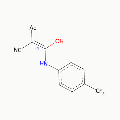 CC(=O)/C(C#N)=C(\O)Nc1ccc(C(F)(F)F)cc1